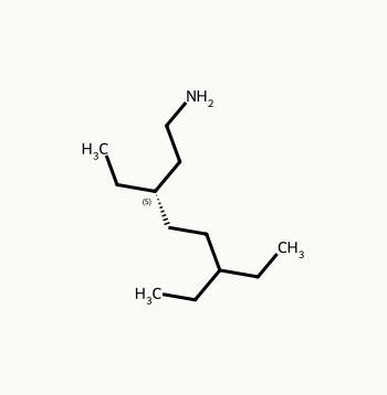 CCC(CC)CC[C@H](CC)CCN